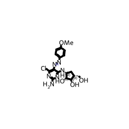 COc1ccc(/N=N/c2c(Cl)nc(N)nc2N[C@@H]2C[C@H](CO)[C@@H](O)[C@H]2O)cc1